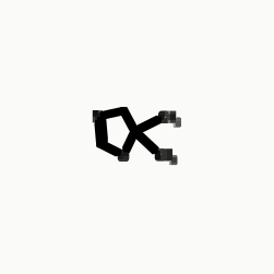 CC1(C)CN=CO1